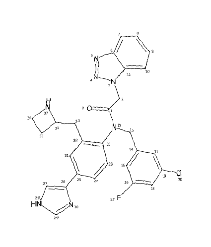 O=C(Cn1nnc2ccccc21)N(Cc1cc(F)cc(Cl)c1)c1ccc(-c2c[nH]cn2)cc1CC1CCN1